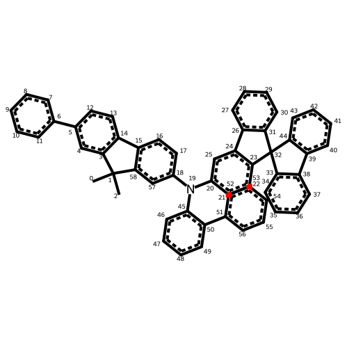 CC1(C)c2cc(-c3ccccc3)ccc2-c2ccc(N(c3ccc4c(c3)-c3ccccc3C43c4ccccc4-c4ccccc43)c3ccccc3-c3ccccc3)cc21